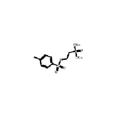 COP(=O)(CCOS(=O)(=O)c1ccc(C)cc1)OC